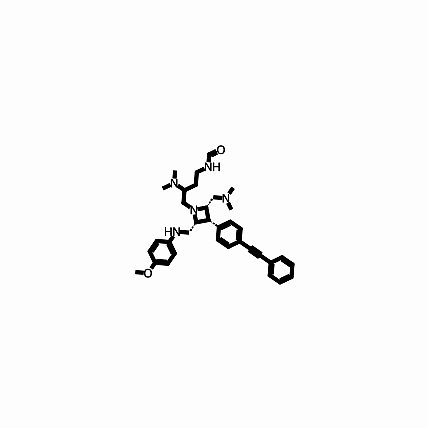 COc1ccc(NC[C@H]2[C@@H](c3ccc(C#Cc4ccccc4)cc3)[C@@H](CN(C)C)N2CC(CCNC=O)N(C)C)cc1